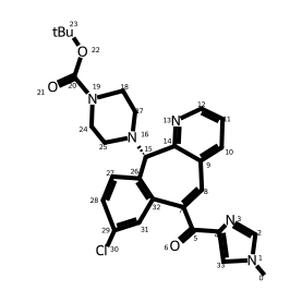 Cn1cnc(C(=O)C2=Cc3cccnc3[C@@H](N3CCN(C(=O)OC(C)(C)C)CC3)c3ccc(Cl)cc32)c1